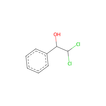 OC([C](Cl)Cl)c1ccccc1